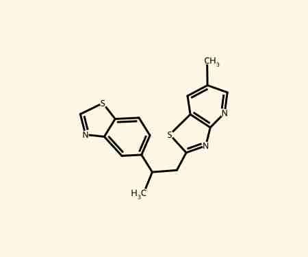 Cc1cnc2nc(CC(C)c3ccc4scnc4c3)sc2c1